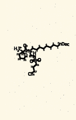 CCCCCCCCCCCCCCCCCCN(CNS(=O)(=O)CCCCl)C(=O)C1(C)CCCO1